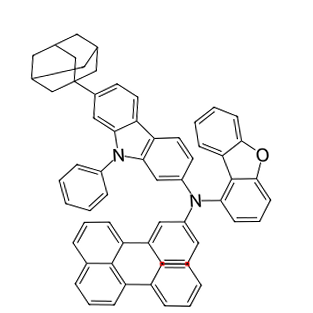 c1ccc(-c2cccc3cccc(-c4cccc(N(c5ccc6c7ccc(C89CC%10CC(CC(C%10)C8)C9)cc7n(-c7ccccc7)c6c5)c5cccc6oc7ccccc7c56)c4)c23)cc1